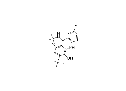 Cc1cc(Pc2ccc(F)cc2CNC(C)(C)C)c(O)c(C(C)(C)C)c1